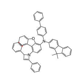 CC1(C)c2ccccc2-c2ccc(N(c3ccc(-c4ccccc4)cc3)c3ccc(N4C(c5ccccc5)=CC4c4ccccc4)c4c5c(oc34)=CCCC=5)cc21